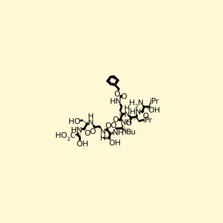 CC[C@H](C)[C@H](NC(=O)[C@@H](CCNC(=O)OCc1ccccc1)NC(=O)[C@H](CC(C)C)NC(=O)C(N)[C@H](O)C(C)C)C(=O)N[C@H](C(=O)NCC(=O)N[C@@H](CO)C(=O)N[C@@H](CO)C(=O)O)[C@H](C)O